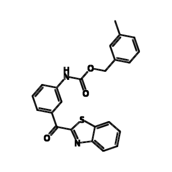 Cc1cccc(COC(=O)Nc2cccc(C(=O)c3nc4ccccc4s3)c2)c1